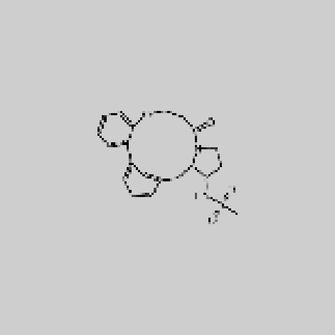 CS(=O)(=O)NC1CCN2C(=O)CCOc3ccccc3-c3cccc(c3)CC12